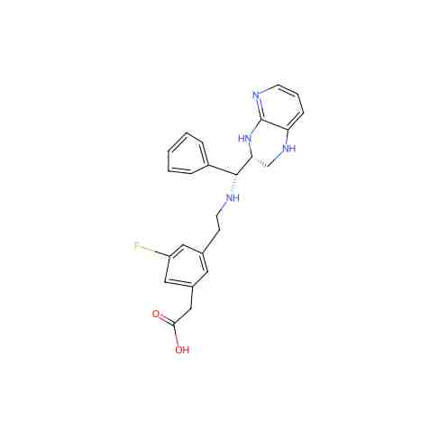 O=C(O)Cc1cc(F)cc(CCN[C@H](c2ccccc2)[C@H]2CNc3cccnc3N2)c1